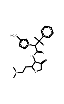 [CH2]CC(C)(c1ccccc1)C(C(=O)NC1C(=O)COC1CCN(C)C)n1ccc(C(=O)O)c1